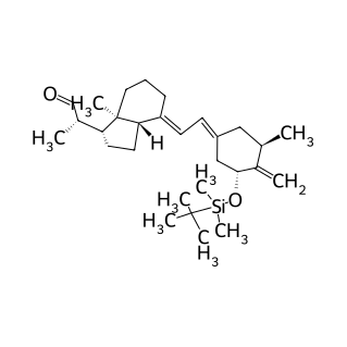 C=C1[C@H](C)C/C(=C/C=C2\CCC[C@]3(C)[C@@H]([C@H](C)C=O)CC[C@@H]23)C[C@H]1O[Si](C)(C)C(C)(C)C